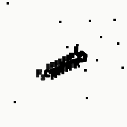 C=Cc1ccccc1C(F)(F)C(F)(F)C(F)(F)C(F)(F)C(F)(F)C(F)(F)C(F)(F)C(F)(F)F